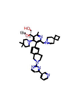 Cc1nc(CN2CCC3(CCC3)CC2)c(-c2ccc3c(c2)CCN(c2nccc(-c4cccnc4)n2)C3)c(N2CCC(C)(C)CC2)c1[C@@H](CO)OC(C)(C)C